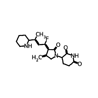 C=C1CN(C2CCC(=O)NC2=O)C(=O)/C1=C(F)/C=C(\C)C1CCCCN1